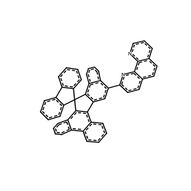 c1ccc2c(c1)-c1ccccc1C21c2c(cc(-c3ccc4ccc5cccnc5c4n3)c3ccccc23)-c2c1c1ccccc1c1ccccc21